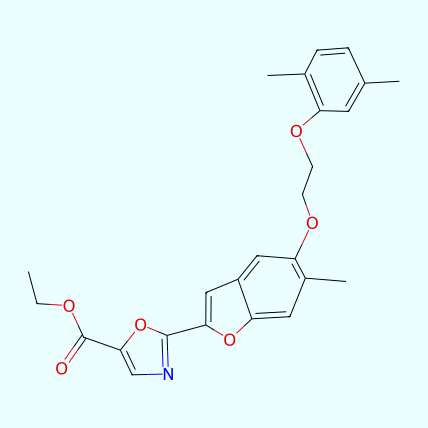 CCOC(=O)c1cnc(-c2cc3cc(OCCOc4cc(C)ccc4C)c(C)cc3o2)o1